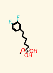 CO[Si](O)(O)CCCCCc1ccc(F)c(F)c1